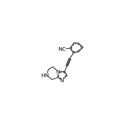 N#Cc1ccccc1C#Cc1cnc2n1CCNC2